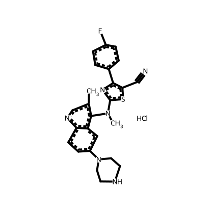 Cc1cnc2ccc(N3CCNCC3)cc2c1N(C)c1nc(-c2ccc(F)cc2)c(C#N)s1.Cl